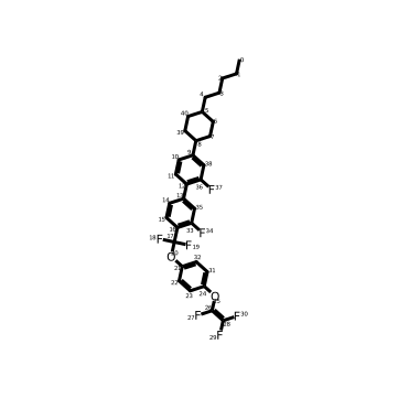 CCCCCC1CCC(c2ccc(-c3ccc(C(F)(F)Oc4ccc(OC(F)=C(F)F)cc4)c(F)c3)c(F)c2)CC1